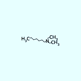 CCCCCCCN(CC)CC